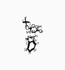 CC(C)(C)OC(=O)N[C@@H](Cn1nnc2ccccc21)C(=O)O